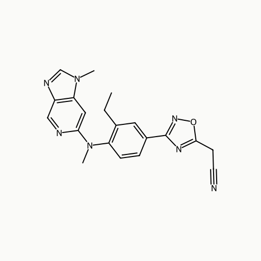 CCc1cc(-c2noc(CC#N)n2)ccc1N(C)c1cc2c(cn1)ncn2C